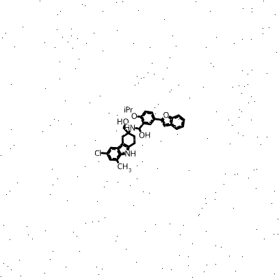 Cc1cc(Cl)cc2c3c([nH]c12)CCC(CO)(NC(O)c1cc(-c2cc4ccccc4o2)ccc1OC(C)C)C3